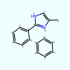 Cc1c[nH]c(-c2ccccc2)n1.[c]1ccccc1